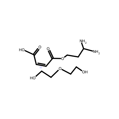 NC(N)CCOC(=O)/C=C\C(=O)O.OCCOCCO